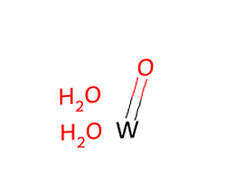 O.O.[O]=[W]